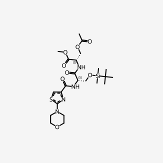 COC(=O)[C@H](COC(C)=O)NC(=O)[C@H](CO[Si](C)(C)C(C)(C)C)NC(=O)c1csc(N2CCOCC2)n1